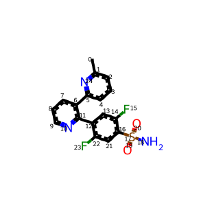 Cc1cccc(-c2cccnc2-c2cc(F)c(S(N)(=O)=O)cc2F)n1